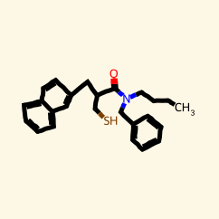 CCCCN(Cc1ccccc1)C(=O)C(CS)Cc1ccc2ccccc2c1